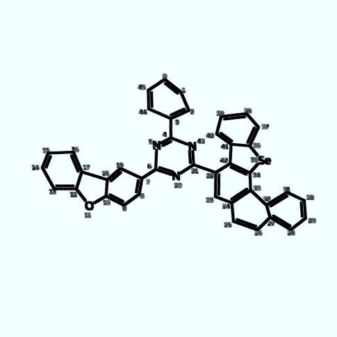 c1ccc(-c2nc(-c3ccc4oc5ccccc5c4c3)nc(-c3cc4ccc5ccccc5c4c4[se]c5ccccc5c34)n2)cc1